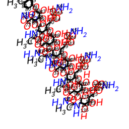 CC(=O)NC1C(O[C@H]2C(C(=O)ON)O[C@@H](O[C@@H]3C(COS(=O)(=O)ON)OC(O[C@@H]4C(C(=O)ON)O[C@@H](O[C@@H]5C(COS(=O)(=O)ON)OC(O[C@@H]6C(C(=O)ON)O[C@@H](O[C@@H]7C(COS(=O)(=O)ON)OC(O[C@H]8C(C(=O)ON)O[C@@H](Oc9ccc(C)cc9)C(O)[C@@H]8O)C(NC(C)=O)[C@H]7O)C(O)[C@@H]6O)C(NC(C)=O)[C@H]5O)C(O)[C@@H]4O)C(NC(C)=O)[C@H]3O)C(O)[C@@H]2O)OC(COS(=O)(=O)ON)[C@@H](O)[C@@H]1O